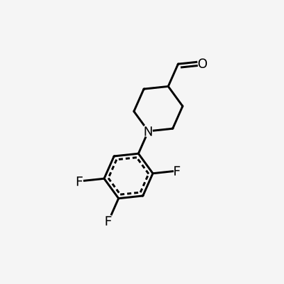 O=CC1CCN(c2cc(F)c(F)cc2F)CC1